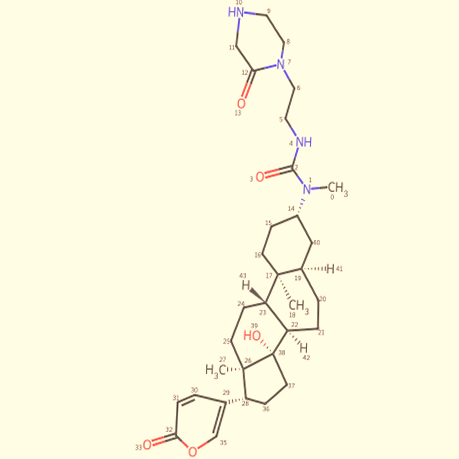 CN(C(=O)NCCN1CCNCC1=O)[C@H]1CC[C@@]2(C)[C@H](CC[C@@H]3[C@@H]2CC[C@]2(C)[C@@H](c4ccc(=O)oc4)CC[C@]32O)C1